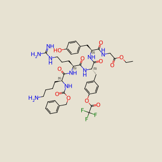 CCOC(=O)CNC(=O)[C@H](Cc1ccc(O)cc1)NC(=O)[C@H](Cc1ccc(OC(=O)C(F)(F)F)cc1)NC(=O)[C@H](CCCNC(=N)N)NC(=O)[C@H](CCCCN)NC(=O)OCc1ccccc1